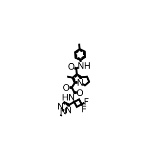 Cc1ccc(NC(=O)c2c(C)c(C(=O)C(=O)NC3(c4cnn(C)n4)CC(F)(F)C3)n3c2CCC3)cc1